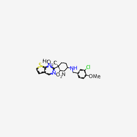 COc1ccc(CNC2CCC(C(=O)O)(c3ncc4ccsc4n3)C([N+](=O)[O-])C2)cc1Cl